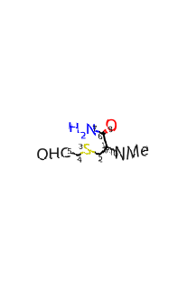 CN[C@@H](CSCC=O)C(N)=O